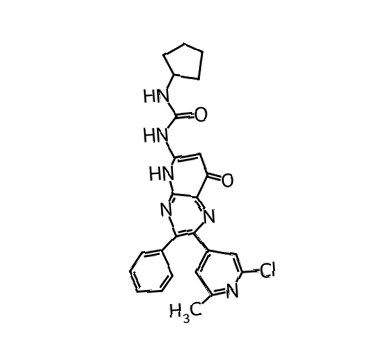 Cc1cc(-c2nc3c(=O)cc(NC(=O)NC4CCCC4)[nH]c3nc2-c2ccccc2)cc(Cl)n1